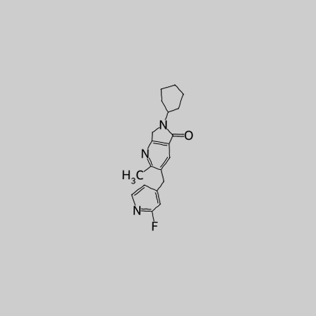 Cc1nc2c(cc1Cc1ccnc(F)c1)C(=O)N(C1CCCCC1)C2